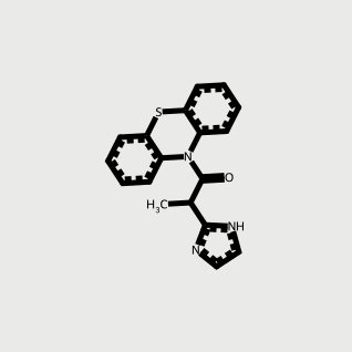 CC(C(=O)N1c2ccccc2Sc2ccccc21)c1ncc[nH]1